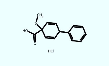 CSC1(C(=O)O)C=CC(c2ccccc2)C=C1.Cl